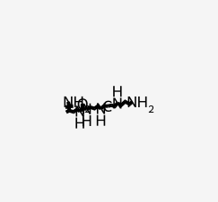 CC(CCNC(=O)NCCCNCCCCNCCCN)C(C)(C)N